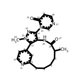 CC1CCCCc2cc(ccn2)-c2c(c(-n3cnccc3=O)nn2C)NC1=O